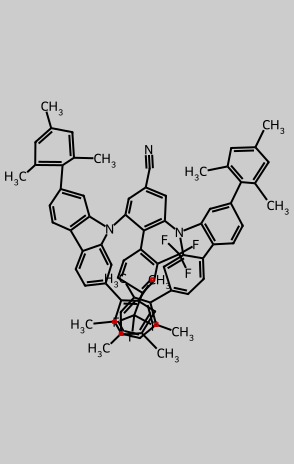 Cc1cc(C)c(-c2ccc3c4ccc(-c5c(C)cc(C)cc5C)cc4n(-c4cc(C#N)cc(-n5c6cc(-c7c(C)cc(C)cc7C)ccc6c6ccc(-c7c(C)cc(C)cc7C)cc65)c4-c4ccc(C(F)(F)F)cc4C(F)(F)F)c3c2)c(C)c1